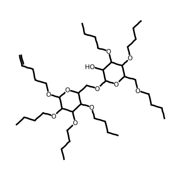 C=CCCCOC1OC(COC2OC(COCCCC)C(OCCCC)C(OCCCC)C2O)C(OCCCC)C(OCCCC)C1OCCCC